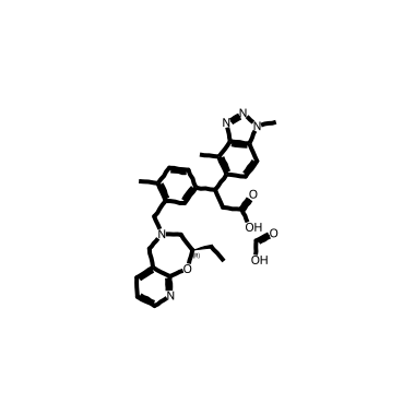 CC[C@@H]1CN(Cc2cc(C(CC(=O)O)c3ccc4c(nnn4C)c3C)ccc2C)Cc2cccnc2O1.O=CO